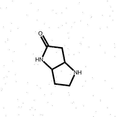 O=C1CC2NCCC2N1